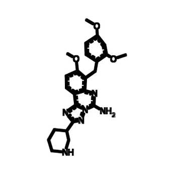 COc1ccc(Cc2c(OC)ccc3c2nc(N)n2nc(C4CCCNC4)nc32)c(OC)c1